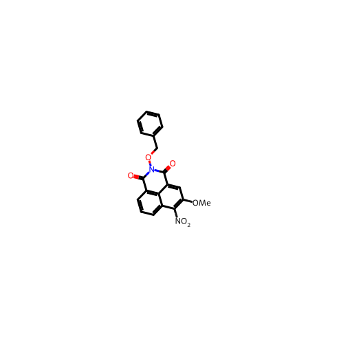 COc1cc2c3c(cccc3c1[N+](=O)[O-])C(=O)N(OCc1ccccc1)C2=O